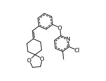 Cc1ccc(Oc2cccc(C=C3CCC4(CC3)OCCO4)c2)nc1Cl